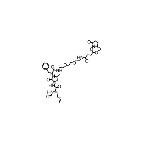 CSCC[C@H](NC=O)C(=O)N[C@H]1CC(C)N([C@@H](Cc2ccccc2)C(=O)NCCOCCOCCNC(=O)CCC(=O)ON2C(=O)CCC2=O)C1=O